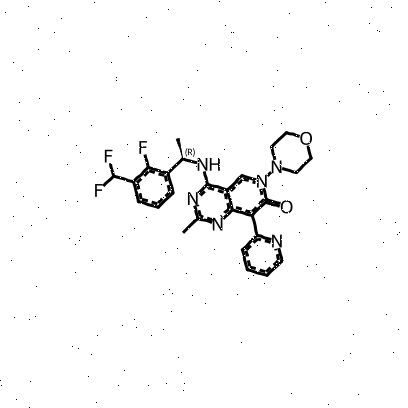 Cc1nc(N[C@H](C)c2cccc(C(F)F)c2F)c2cn(N3CCOCC3)c(=O)c(-c3ccccn3)c2n1